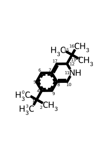 CC(C)(C)c1ccc2c(c1)=CNC(C(C)(C)C)C=2